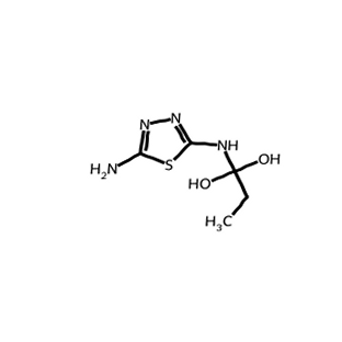 CCC(O)(O)Nc1nnc(N)s1